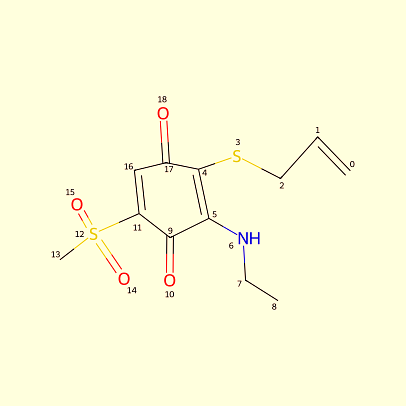 C=CCSC1=C(NCC)C(=O)C(S(C)(=O)=O)=CC1=O